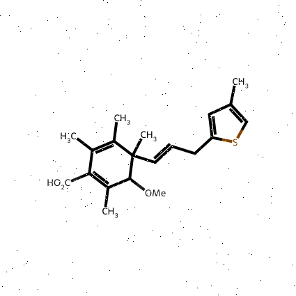 COC1C(C)=C(C(=O)O)C(C)=C(C)C1(C)C=CCc1cc(C)cs1